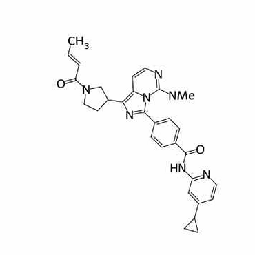 CC=CC(=O)N1CCC(c2nc(-c3ccc(C(=O)Nc4cc(C5CC5)ccn4)cc3)n3c(NC)nccc23)C1